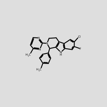 Cc1ccc(C2c3[nH]c4cc(F)c(Cl)cc4c3CCN2c2nccc(C)n2)cc1